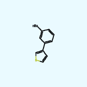 CCCCc1cccc(-c2ccsc2)c1